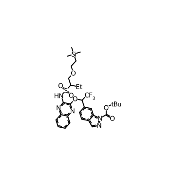 CCC(COCC[Si](C)(C)C)S(=O)(=O)Nc1nc2ccccc2nc1OC(c1ccc2cnn(C(=O)OC(C)(C)C)c2c1)C(F)(F)F